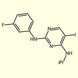 CC(C)Nc1nc(Nc2cccc(F)c2)ncc1I